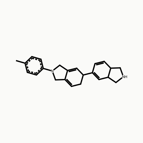 Cc1ccc(N2CC3=CCC(C4=CC5CNCC5C=C4)C=C3C2)cc1